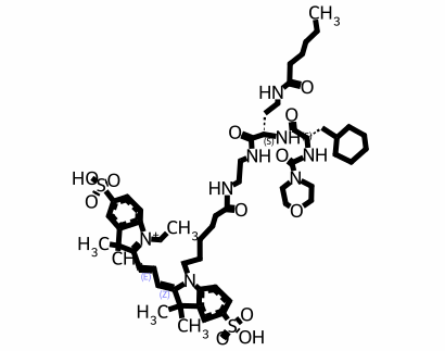 CCCCCC(=O)NCC[C@H](NC(=O)[C@H](CC1CCCCC1)NC(=O)N1CCOCC1)C(=O)NCCNC(=O)CCCCCN1/C(=C\C=C\C2=[N+](CC)c3ccc(S(=O)(=O)O)cc3C2(C)C)C(C)(C)c2cc(S(=O)(=O)O)ccc21